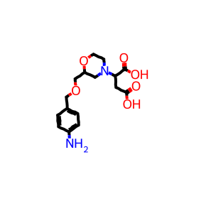 Nc1ccc(COCC2CN(C(CC(=O)O)C(=O)O)CCO2)cc1